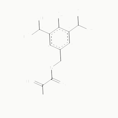 C=C(C)C(=O)NCc1cc(C(C)C)c(O)c(C(C)C)c1